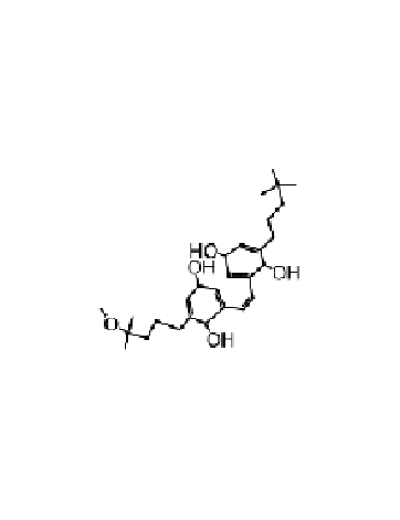 COC(C)(C)CCCC1=CC(O)C=C(/C=C\C2=CC(O)C=C(CCCC(C)(C)C)C2O)C1O